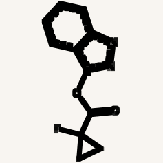 O=C(On1nnc2ccccc21)C1(F)CC1